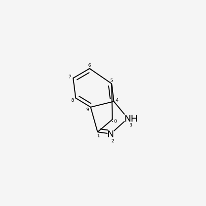 [CH]1c2n[nH]c3c1cccc23